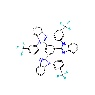 FC(F)(F)c1cccc(-n2c(-c3cc(-c4nc5ccccc5n4-c4cccc(C(F)(F)F)c4)cc(-c4nc5ccccc5n4-c4cccc(C(F)(F)F)c4)c3)nc3ccccc32)c1